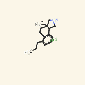 CCCc1cccc2c1CCC1(C)CNCC21.Cl